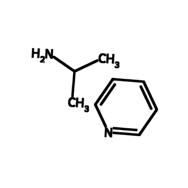 CC(C)N.c1ccncc1